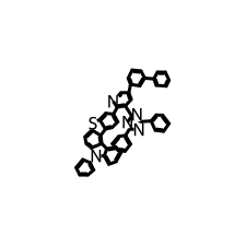 c1ccc(-c2cccc(-c3cnc(-c4ccc5c(c4)sc4ccc6c(c7ccccc7n6-c6ccccc6)c45)c(-c4nc(-c5ccccc5)nc(-c5ccccc5)n4)c3)c2)cc1